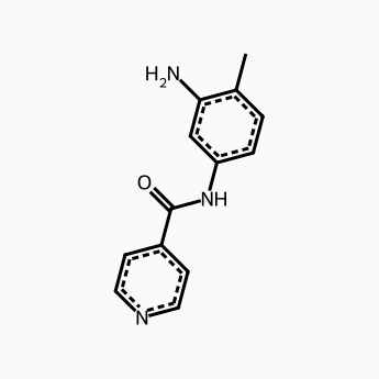 Cc1ccc(NC(=O)c2ccncc2)cc1N